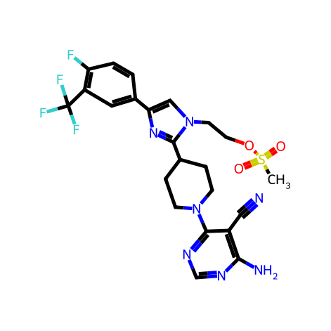 CS(=O)(=O)OCCn1cc(-c2ccc(F)c(C(F)(F)F)c2)nc1C1CCN(c2ncnc(N)c2C#N)CC1